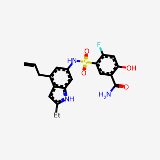 C=CCc1cc(NS(=O)(=O)c2cc(C(N)=O)c(O)cc2F)cc2[nH]c(CC)cc12